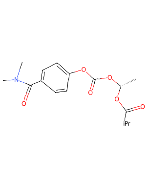 CC(C)C(=O)O[C@@H](C)OC(=O)Oc1ccc(C(=O)N(C)C)cc1